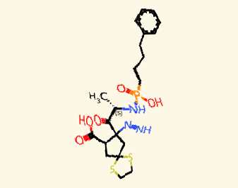 C[C@H](NP(=O)(O)CCCCc1ccccc1)C(=O)C1(N=N)CC2(CC1C(=O)O)SCCS2